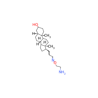 C[C@]12CC[C@H](O)C[C@H]1CC[C@@H]1[C@@H]2CC[C@]2(C)[C@@H](/C=C/C=N/OCCN)CC[C@@H]12